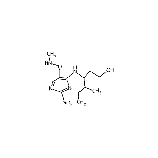 CCC(C)C(CCO)Nc1nc(N)ncc1ONC